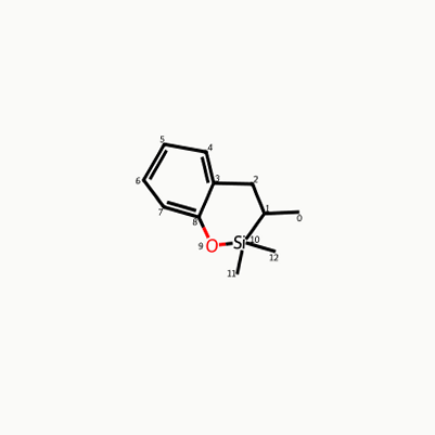 CC1Cc2ccccc2O[Si]1(C)C